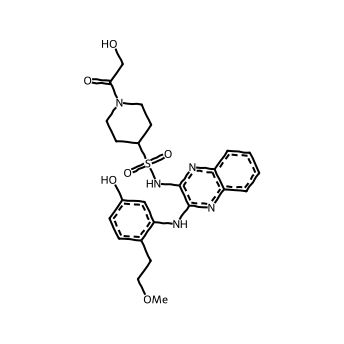 COCCc1ccc(O)cc1Nc1nc2ccccc2nc1NS(=O)(=O)C1CCN(C(=O)CO)CC1